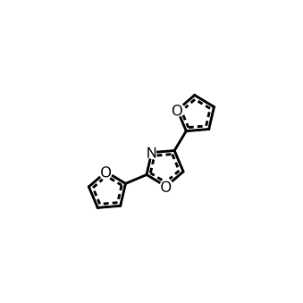 c1coc(-c2coc(-c3ccco3)n2)c1